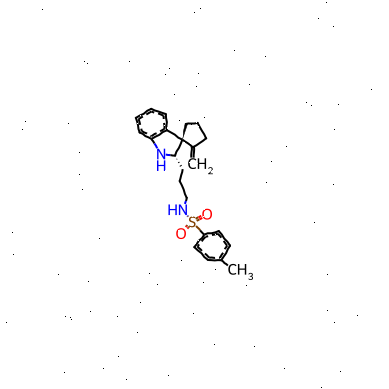 C=C1CCC[C@@]12c1ccccc1N[C@H]2CCCNS(=O)(=O)c1ccc(C)cc1